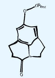 CCCCCOc1cc2c3c(c1)CCN3C(=O)CC2